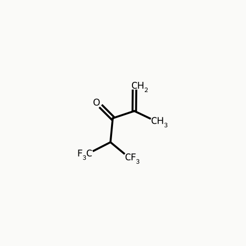 C=C(C)C(=O)C(C(F)(F)F)C(F)(F)F